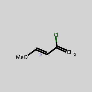 C=C(Cl)/C=C/OC